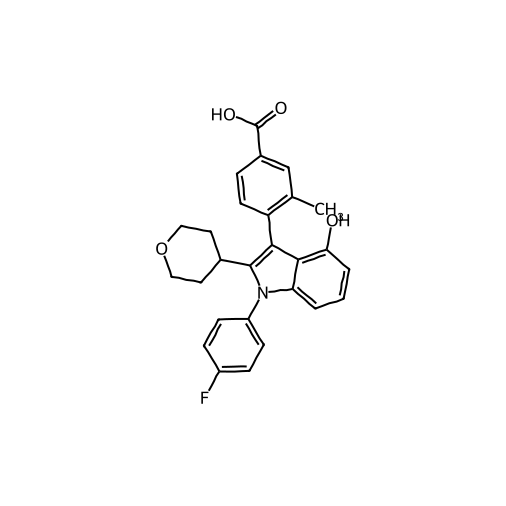 Cc1cc(C(=O)O)ccc1-c1c(C2CCOCC2)n(-c2ccc(F)cc2)c2cccc(O)c12